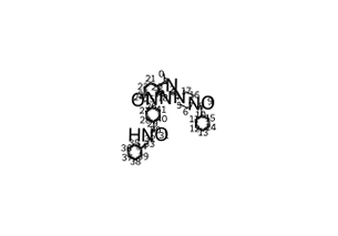 Cc1nc(N2CCN(C(=O)c3ccccc3)CC2)nc2c1ccc(=O)n2-c1ccc(C(=O)NCc2ccccc2)cc1